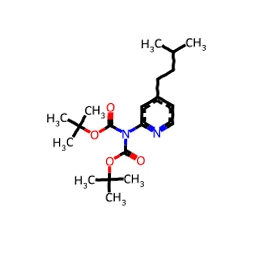 CC(C)CCc1ccnc(N(C(=O)OC(C)(C)C)C(=O)OC(C)(C)C)c1